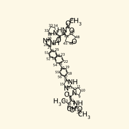 COC(=O)N[C@H](C(=O)N1CCCC1C1=NCC(c2ccc(-c3ccc4cc(-c5cnc([C@@H]6CCCN6C(=O)[C@@H](NC(=O)OC)C6CCOCC6)[nH]5)ccc4c3)cc2)N1)C(C)C